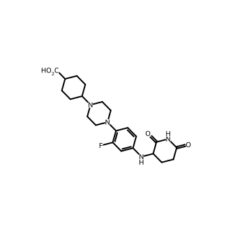 O=C1CCC(Nc2ccc(N3CCN(C4CCC(C(=O)O)CC4)CC3)c(F)c2)C(=O)N1